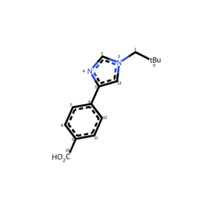 CC(C)(C)Cn1cnc(-c2ccc(C(=O)O)cc2)c1